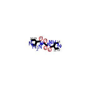 NN(C(=O)C(=O)N(N)C(=O)c1ccncc1)C(=O)c1ccncc1